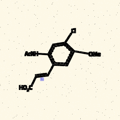 COc1cc(/C=C/C(=O)O)c(NC(C)=O)cc1Cl